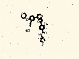 COc1cc(C(=O)NC2C3CNCC32)ccc1-c1cc2nccc(-c3ccc(OC4CCOCC4)c(C#N)c3)c2o1.Cl